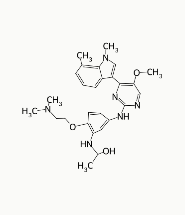 COc1cnc(Nc2ccc(OCCN(C)C)c(NC(C)O)c2)nc1-c1cn(C)c2c(C)cccc12